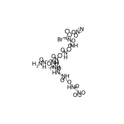 CC(C)[C@H](NCC(=O)NCCNC(=O)CCOCCNC(=O)CCN1C(=O)C=CC1=O)C(=O)N[C@@H](CCCNC(N)=O)C(=O)Nc1ccc(C(=O)Nc2ccc3[nH]c(C(=O)N4C[C@@H](CBr)c5c4cc(OC(=O)N4CCN(C)CC4)c4ccccc54)cc3c2)cc1